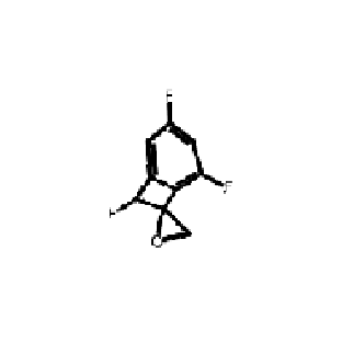 Fc1cc(F)c2c(c1)C(F)C21CO1